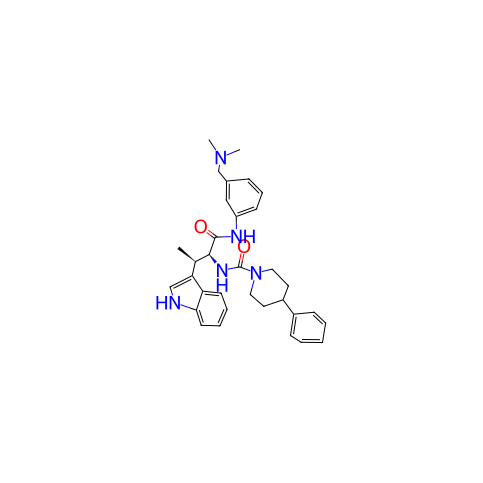 C[C@H](c1c[nH]c2ccccc12)[C@H](NC(=O)N1CCC(c2ccccc2)CC1)C(=O)Nc1cccc(CN(C)C)c1